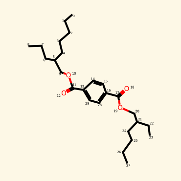 CCCCCC(CCC)COC(=O)c1ccc(C(=O)OCC(CC)CCCC)cc1